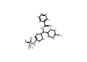 O=C(OC(C1CC=C(OS(=O)(=O)C(F)(F)F)CC1)C1CCC(F)CC1)c1ccccc1